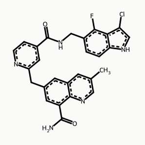 Cc1cnc2c(C(N)=O)cc(Cc3cc(C(=O)NCc4ccc5[nH]cc(Cl)c5c4F)ccn3)cc2c1